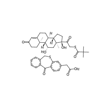 CC(C)(C)C(=O)SCC(=O)[C@@]1(O)CC[C@H]2[C@@H]3CCC4=CC(=O)CC[C@]4(C)[C@H]3[C@@H](O)C[C@@]21C.O=C(O)Cc1ccc2c(c1)SCc1ccccc1C2=O